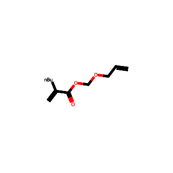 C=CCOCOC(=O)C(=C)CCCC